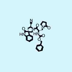 N#C[C@@H]1C[C@@]2(CN1C(=O)[C@H](CN1CCCC1=O)NC(=O)OCc1ccccc1)C(=O)Nc1ccccc12